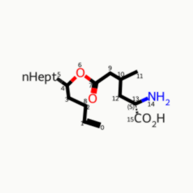 C=CCCC(CCCCCCC)OC(=O)CC(C)C[C@H](N)C(=O)O